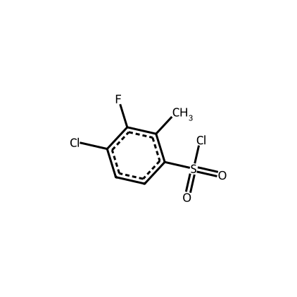 Cc1c(S(=O)(=O)Cl)ccc(Cl)c1F